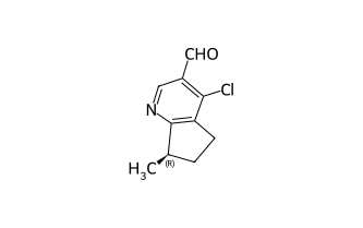 C[C@@H]1CCc2c1ncc(C=O)c2Cl